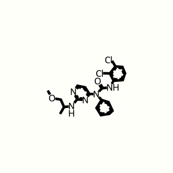 COCC(C)Nc1nccc(N(C(=O)Nc2cccc(Cl)c2Cl)c2ccccc2)n1